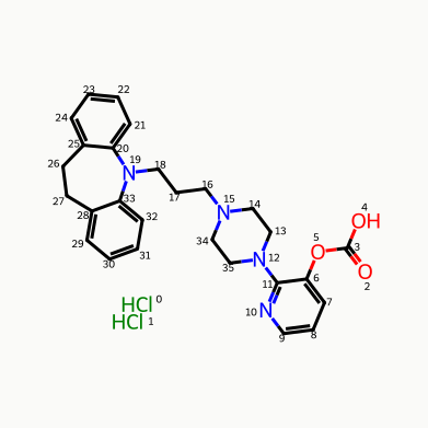 Cl.Cl.O=C(O)Oc1cccnc1N1CCN(CCCN2c3ccccc3CCc3ccccc32)CC1